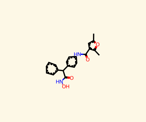 Cc1cc(C(=O)Nc2ccc(C(C(=O)NO)c3ccccc3)cc2)c(C)o1